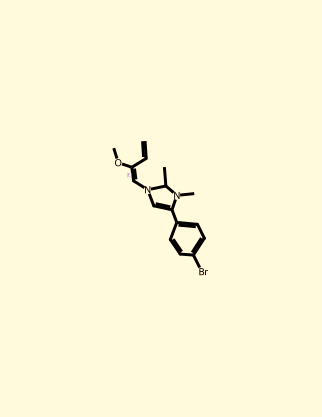 C=C/C(=C\N1C=C(c2ccc(Br)cc2)N(C)C1C)OC